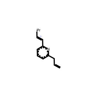 C=CCc1cccc(/C=C/C(C)C)n1